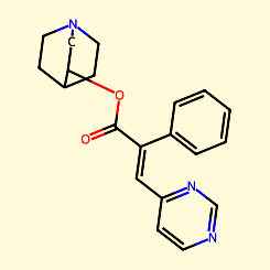 O=C(OC1CN2CCC1CC2)C(=Cc1ccncn1)c1ccccc1